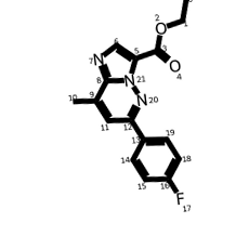 CCOC(=O)c1cnc2c(C)cc(-c3ccc(F)cc3)nn12